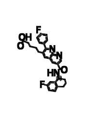 O=C(O)CCCCc1cc2cc(C(=O)N[C@H]3CCCc4ccc(F)cc43)cnc2nc1-c1ccc(F)cc1